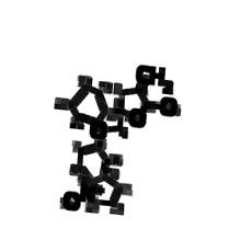 C=C1CC(COc2ccc3c(ccc[n+]3[O-])c2)(c2ccccc2)OC1=O